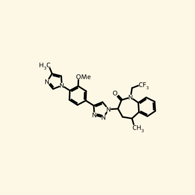 COc1cc(-c2cn(C3CC(C)c4ccccc4N(CC(F)(F)F)C3=O)nn2)ccc1-n1cnc(C)c1